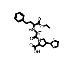 CCOC(=O)C(CCc1ccccc1)N[C@@H](C)C(=O)N1CC(C2SCCS2)CC1C(=O)O